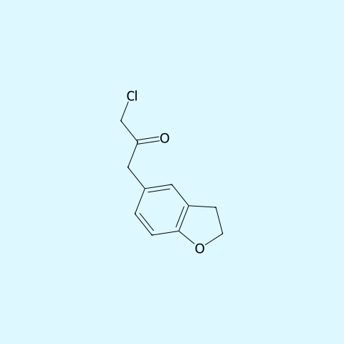 O=C(CCl)Cc1ccc2c(c1)CCO2